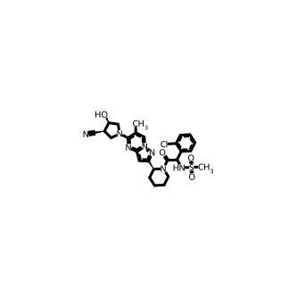 Cc1cn2nc([C@@H]3CCCCN3C(=O)C(NS(C)(=O)=O)c3ccccc3Cl)cc2nc1N1C[C@@H](C#N)[C@@H](O)C1